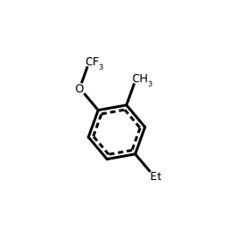 CCc1ccc(OC(F)(F)F)c(C)c1